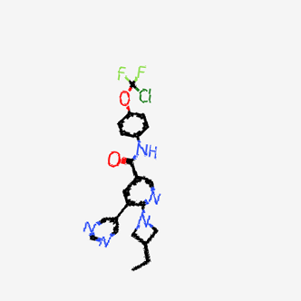 CCC1CN(c2ncc(C(=O)Nc3ccc(OC(F)(F)Cl)cc3)cc2-c2cncnc2)C1